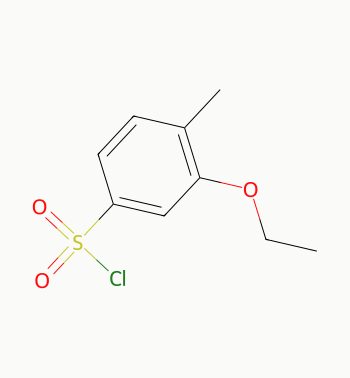 CCOc1cc(S(=O)(=O)Cl)ccc1C